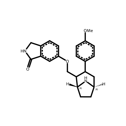 COc1ccc(C2C[C@H]3CC[C@@H](N3)C2COc2ccc3c(c2)C(=O)NC3)cc1